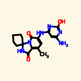 Cc1cc(Nc2cc(N)nc(O)n2)c(=O)n2c1C(=O)NC21CCCCC1